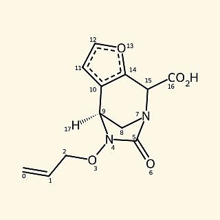 C=CCON1C(=O)N2C[C@@H]1c1ccoc1C2C(=O)O